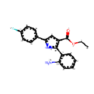 CCOC(=O)c1cc(-c2ccc(F)cc2)[nH]c1-c1ccccc1N